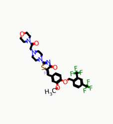 COc1cc(/C=C2/SC(N3CCN(CC(=O)N4CCOCC4)CC3)=NC2=O)ccc1OCc1ccc(C(F)(F)F)cc1C(F)(F)F